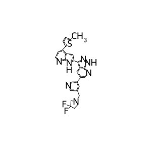 Cc1ccc(-c2ccnc3[nH]c(-c4n[nH]c5ncc(-c6cncc(CN7CCC(F)(F)C7)c6)cc45)cc23)s1